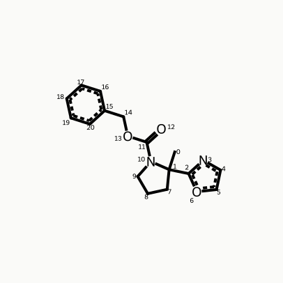 CC1(c2ncco2)CCCN1C(=O)OCc1ccccc1